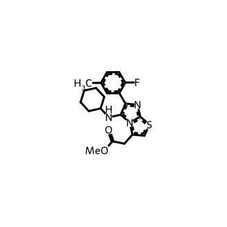 COC(=O)Cc1csc2nc(-c3cc(C)ccc3F)c(NC3CCCCC3)n12